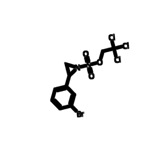 O=S(=O)(OCC(Cl)(Cl)Cl)N1CC1c1cccc(Br)c1